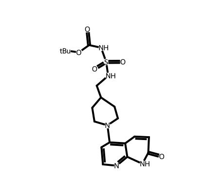 CC(C)(C)OC(=O)NS(=O)(=O)NCC1CCN(c2ccnc3[nH]c(=O)ccc23)CC1